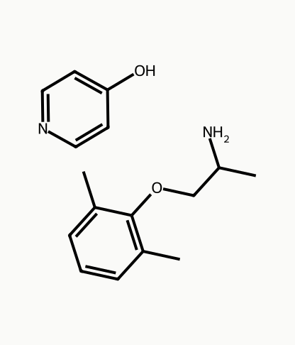 Cc1cccc(C)c1OCC(C)N.Oc1ccncc1